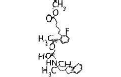 CCOC(=O)CCCCc1c(F)cccc1[C@@H](C)OC[C@H](O)CNC(C)(C)CC1Cc2ccccc2C1